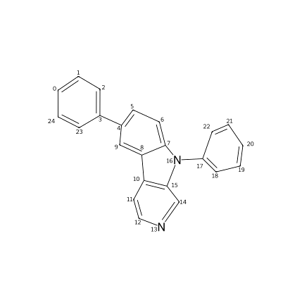 c1ccc(-c2ccc3c(c2)c2ccncc2n3-c2ccccc2)cc1